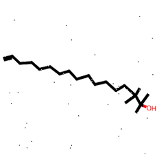 C=CCCCCCCCCCCCCC(C)(C)C(C)(C)O